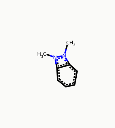 Cn1c2ccccc2n1C